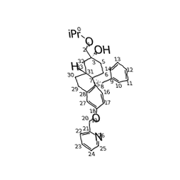 CC(C)OC[C@@]1(O)CC[C@@]2(Cc3ccccc3)c3ccc(OCc4ccccn4)cc3CC[C@@H]2C1